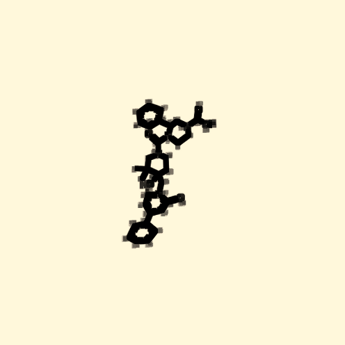 CC1(C)CN(C(=O)N2CCN(C(=O)O)CC2c2ccccc2)CCC1(O)Cn1ccc(-c2ccccc2)cc1=O